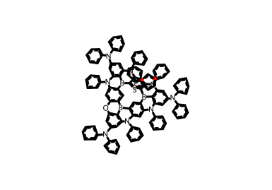 c1ccc(N(c2ccccc2)c2cc3c4c(c2)N(c2ccccc2)c2cc5c(cc2B4c2cc4c(cc2O3)N(c2ccccc2)c2cc(N(c3ccccc3)c3ccccc3)cc3c2B4c2sc4ccccc4c2N3c2ccccc2)B2c3sc4ccccc4c3N(c3ccccc3)c3cc(N(c4ccccc4)c4ccccc4)cc(c32)N5c2ccccc2)cc1